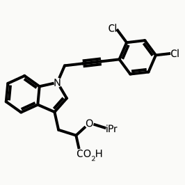 CC(C)OC(Cc1cn(CC#Cc2ccc(Cl)cc2Cl)c2ccccc12)C(=O)O